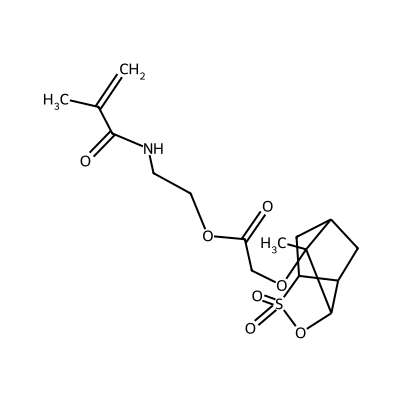 C=C(C)C(=O)NCCOC(=O)COC1(C)C2CC3C1OS(=O)(=O)C3C2